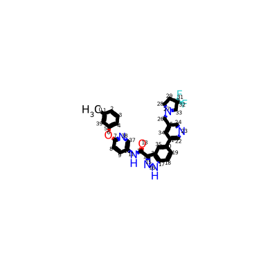 Cc1cccc(Oc2ccc(NC(=O)c3n[nH]c4ccc(-c5cncc(CN6CCC(F)(F)C6)c5)cc34)cn2)c1